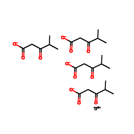 CC(C)C(=O)CC(=O)[O-].CC(C)C(=O)CC(=O)[O-].CC(C)C(=O)CC(=O)[O-].CC(C)C(=O)CC(=O)[O-].[Ti+4]